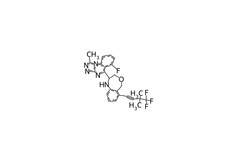 Cc1nnc2nc(C3COCc4c(C#CC(C)(C)C(F)(F)F)cccc4N3)c3c(F)cccc3n12